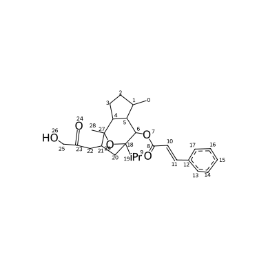 CC1CCC2C1C(OC(=O)/C=C/c1ccccc1)C1(C(C)C)CC(CC(=O)CO)C2(C)O1